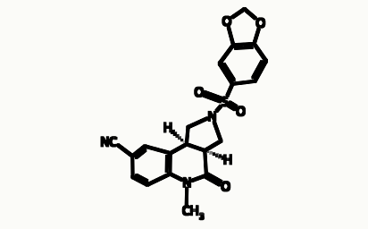 CN1C(=O)[C@@H]2CN(S(=O)(=O)c3ccc4c(c3)OCO4)C[C@@H]2c2cc(C#N)ccc21